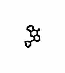 S=c1c2ccccc2sc2c(-c3ccccc3)cccc12